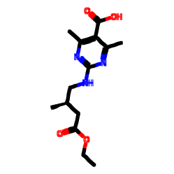 CCOC(=O)C[C@@H](C)CNc1nc(C)c(C(=O)O)c(C)n1